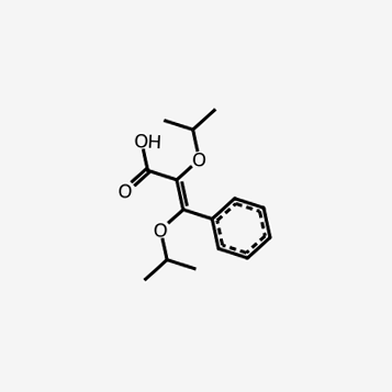 CC(C)OC(C(=O)O)=C(OC(C)C)c1ccccc1